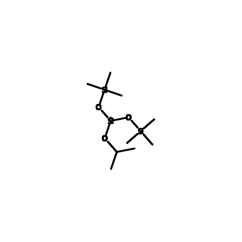 CC(C)O[Si](O[Si](C)(C)C)O[Si](C)(C)C